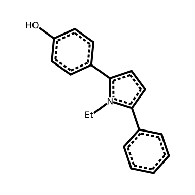 CCn1c(-c2ccccc2)ccc1-c1ccc(O)cc1